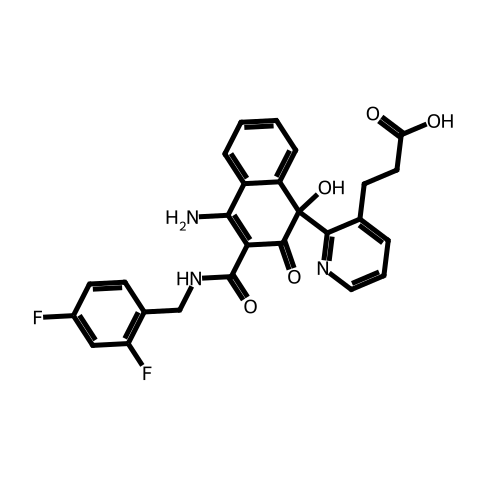 NC1=C(C(=O)NCc2ccc(F)cc2F)C(=O)C(O)(c2ncccc2CCC(=O)O)c2ccccc21